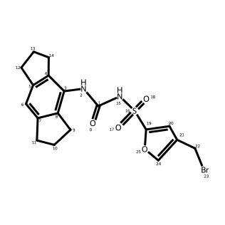 O=C(Nc1c2c(cc3c1CCC3)CCC2)NS(=O)(=O)c1cc(CBr)co1